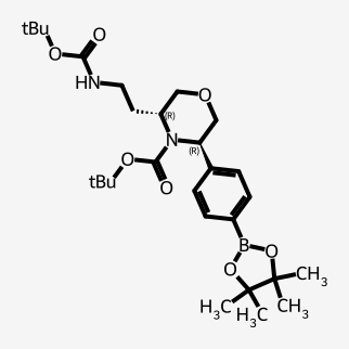 CC(C)(C)OC(=O)NCC[C@@H]1COC[C@@H](c2ccc(B3OC(C)(C)C(C)(C)O3)cc2)N1C(=O)OC(C)(C)C